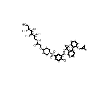 O=C(COC1CCN(S(=O)(=O)c2ccc(Cl)c(COC3(c4cnccc4-c4ccccc4OC4CC4)CC3)c2)CC1)NC[C@H](O)[C@@H](O)[C@H](O)[C@H](O)CO